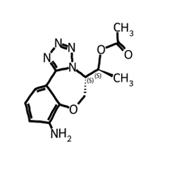 CC(=O)O[C@@H](C)[C@@H]1COc2c(N)cccc2-c2nnnn21